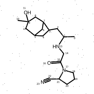 CC(CC1CC2CC1CC(C)(O)C2)NCC(=O)N1CCCC1C#N